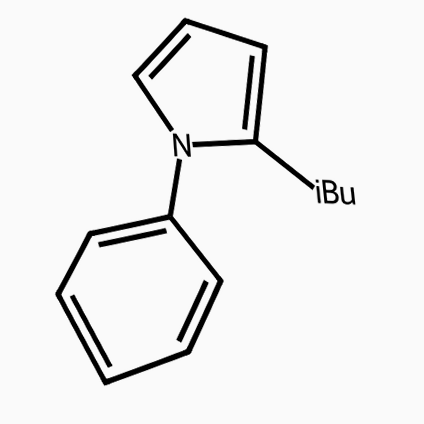 CCC(C)c1cccn1-c1ccccc1